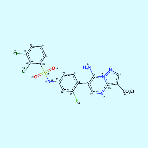 CCOC(=O)c1cnn2c(N)c(-c3ccc(NS(=O)(=O)c4cccc(Cl)c4Cl)cc3F)cnc12